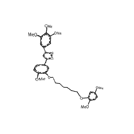 COc1c[c]c(OC)c(OCCCCCCCOc2cc(-c3cc(-c4cc(OC)c(OC)c(OC)c4)no3)ccc2OC)c1